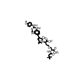 COc1ccc(NC(=NC#N)Nc2ccc(C(CC(C)C)C(=O)NC(CCOCC(NC(=O)CC(C)(C)C)C(=O)O)C(=O)O)cc2)cc1